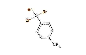 FC(F)(F)c1ccc(C(Br)(Br)Br)cc1